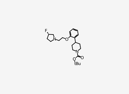 CC(C)(C)OC(=O)N1CCC(c2ccccc2OCCN2CC[C@@H](F)C2)CC1